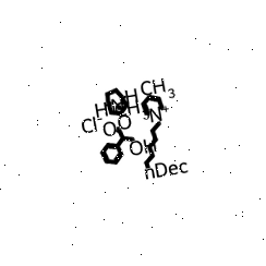 CCCCCCCCCCCCCCCC[n+]1ccc(C)cc1.CN1[C@@H]2CC[C@H]1C[C@@H](OC(=O)C(CO)c1ccccc1)C2.[Cl-]